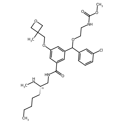 CCCCC[C@@H](CNC(=O)c1cc(OCC2(C)COC2)cc(C(OCCNC(=O)OC)c2cccc(Cl)c2)c1)NC